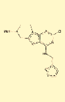 CNC(C)Cc1sc2c(NCc3ccco3)nc(Cl)nc2c1C